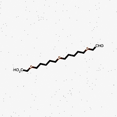 O=CCSCCCCCSCCCCCSCC(=O)O